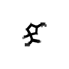 NC1CCC(F)(C(=O)O)C1